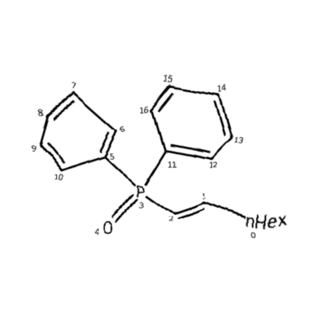 CCCCCCC=CP(=O)(c1ccccc1)c1ccccc1